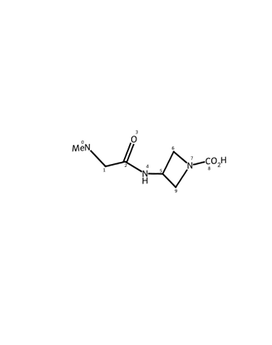 CNCC(=O)NC1CN(C(=O)O)C1